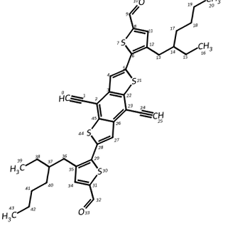 C#Cc1c2cc(-c3sc(C=O)cc3CC(CC)CCCC)sc2c(C#C)c2cc(-c3sc(C=O)cc3CC(CC)CCCC)sc12